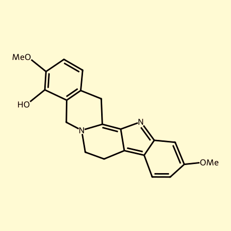 COc1ccc2c(c1)=NC1=C3Cc4ccc(OC)c(O)c4CN3CCC=21